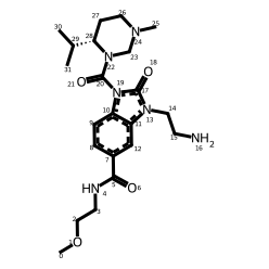 COCCNC(=O)c1ccc2c(c1)n(CCN)c(=O)n2C(=O)N1CN(C)CC[C@H]1C(C)C